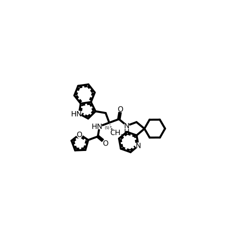 C[C@@](Cc1c[nH]c2ccccc12)(NC(=O)c1ccco1)C(=O)NCC1(c2ccccn2)CCCCC1